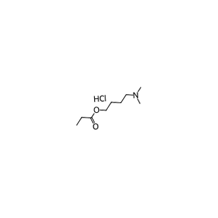 CCC(=O)OCCCCN(C)C.Cl